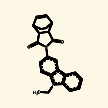 CCn1c2ccccc2c2cc(N3C(=O)C4C5C=CC(CC5)C4C3=O)ccc21